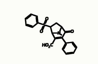 CN1C2CC(S(=O)(=O)c3ccccc3)C1C(C(=O)O)=C(c1ccccc1)C2=O